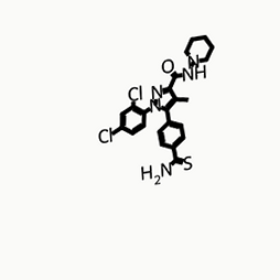 Cc1c(C(=O)NN2CCCCC2)nn(-c2ccc(Cl)cc2Cl)c1-c1ccc(C(N)=S)cc1